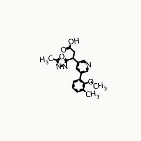 COc1c(C)cccc1-c1cncc(C(CC(=O)O)c2nnc(C)o2)c1